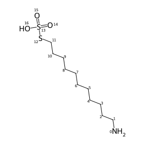 NCCCCCCCCCCCSS(=O)(=O)O